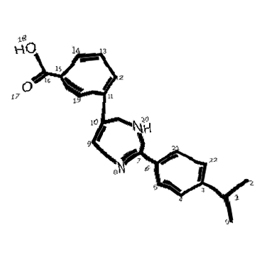 CC(C)c1ccc(-c2ncc(-c3cccc(C(=O)O)c3)[nH]2)cc1